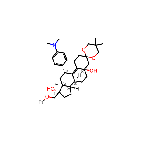 CCOC[C@]1(O)CC[C@H]2[C@@H]3CC[C@@]4(O)CC5(CCC4=C3[C@@H](c3ccc(N(C)C)cc3)C[C@@]21C)OCC(C)(C)CO5